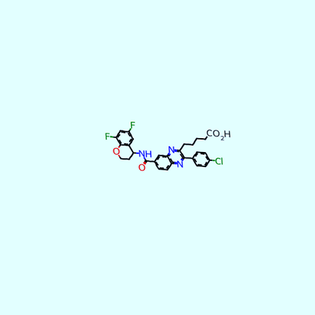 O=C(O)CCCCc1nc2cc(C(=O)NC3CCOc4c(F)cc(F)cc43)ccc2nc1-c1ccc(Cl)cc1